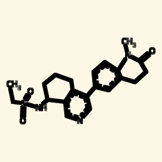 CCS(=O)(=O)NC1CCCc2c(-c3ccc4c(c3)CCC(=O)N4C)cncc21